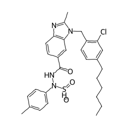 CCCCCCc1ccc(Cn2c(C)nc3ccc(C(=O)NN(c4ccc(C)cc4)[SH](=O)=O)cc32)c(Cl)c1